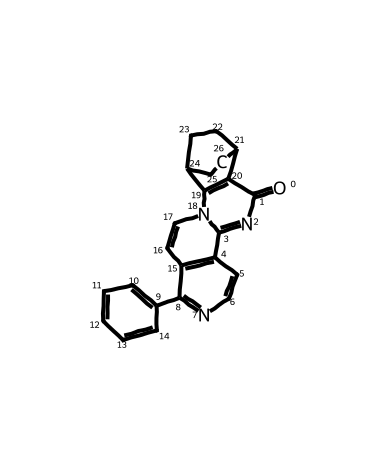 O=c1nc2c3ccnc(-c4ccccc4)c3ccn2c2c1C1CCC2CC1